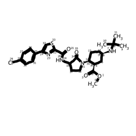 COC(=O)[C@@H]1C[C@H](NC(C)(C)C)CC[C@@H]1N1CCC(NC(=O)c2nc(-c3ccc(Cl)cc3)cs2)C1=O